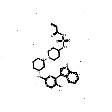 C=CC(=O)NS(=O)(=O)NC1CCN([C@H]2CCC[C@@H](Nc3ncc(Cl)c(-c4c[nH]c5ccccc45)n3)C2)CC1